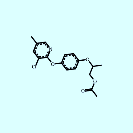 CC(=O)OCC(C)Oc1ccc(Oc2ncc(C)cc2Cl)cc1